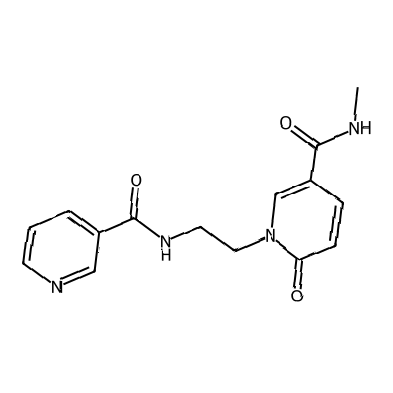 CNC(=O)c1ccc(=O)n(CCNC(=O)c2cccnc2)c1